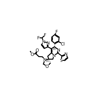 COC(=O)CCN1COC[C@@]12CC1=C(c3ccn(C(F)F)n3)[C@H](c3ccc(F)cc3Cl)N=C(c3nccs3)N1C2